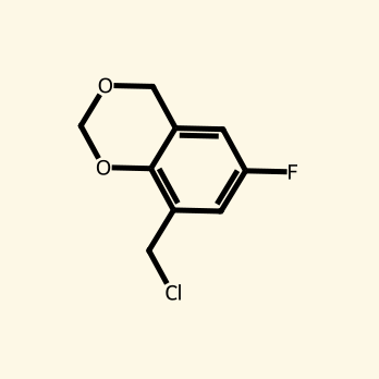 Fc1cc(CCl)c2c(c1)COCO2